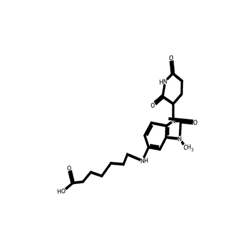 Cn1c(=O)n(C2CCC(=O)NC2=O)c2ccc(NCCCCCCC(=O)O)cc21